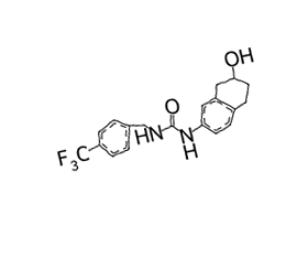 O=C(NCc1ccc(C(F)(F)F)cc1)Nc1ccc2c(c1)CC(O)CC2